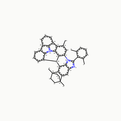 Cc1cccc(C)c1-c1nc2cc3c(c4c2n1-c1cc(C)c2c5cccc6c7cccc8c7n(c2c1B48)c65)C1(C)CCC3(C)CC1